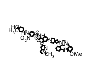 COc1ccc(CN2CCN(C3CC4(CCN(c5ccc(C(=O)NS(=O)(=O)c6ccc(NC[C@H]7CC[C@](C)(O)CC7)c([N+](=O)[O-])c6)c(Oc6cnc7c(ccn7C)c6)c5)CC4)C3)C(c3ccccc3C(C)C)C2)cc1